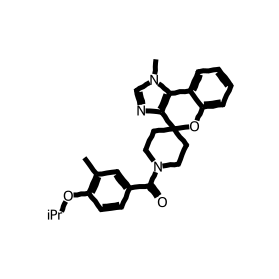 Cc1cc(C(=O)N2CCC3(CC2)Oc2ccccc2-c2c3ncn2C)ccc1OC(C)C